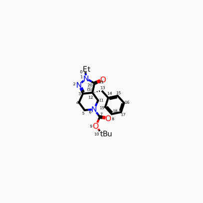 CCN1N=C2CCN(C(=O)OC(C)(C)C)C[C@]2(Cc2ccccc2)C1=O